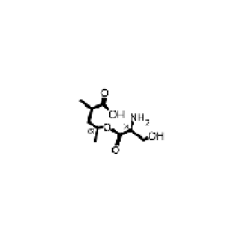 CC(C[C@H](C)OC(=O)[C@@H](N)CO)C(=O)O